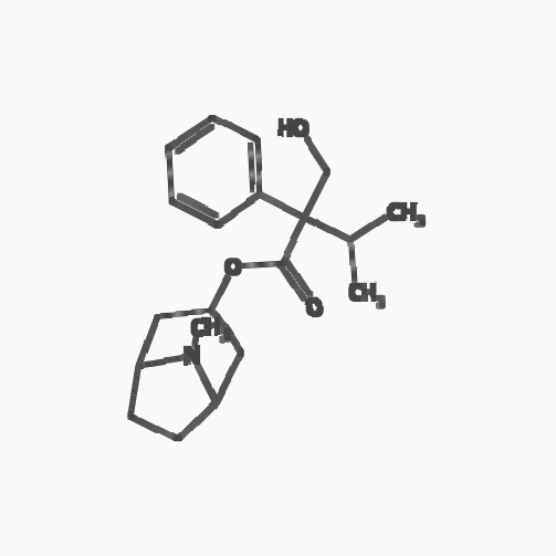 CC(C)C(CO)(C(=O)OC1CC2CCC(C1)N2C)c1ccccc1